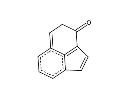 O=C1CC=c2cccc3c2=C1C=C3